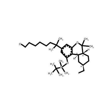 CC(C)(CCCCCCCl)c1cc2c(c(O[Si](C)(C)C(C)(C)C)c1)[C@@H]1C[C@H](CI)CC[C@H]1C(C)(C)O2